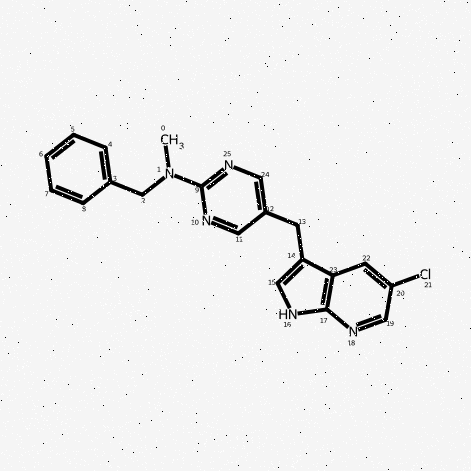 CN(Cc1ccccc1)c1ncc(Cc2c[nH]c3ncc(Cl)cc23)cn1